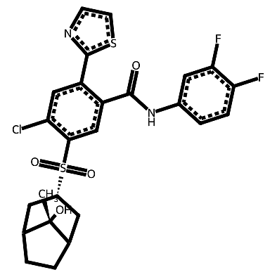 C[C@]1(O)C2CCC1C[C@@H](S(=O)(=O)c1cc(C(=O)Nc3ccc(F)c(F)c3)c(-c3nccs3)cc1Cl)C2